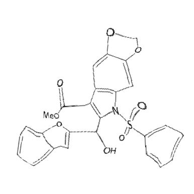 COC(=O)c1c(C(O)c2cc3ccccc3o2)n(S(=O)(=O)c2ccccc2)c2cc3c(cc12)OCO3